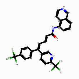 O=C(/C=C/C=C(/c1ccc(C(F)(F)F)cc1)c1ccc(C(F)(F)F)nc1)Nc1cccc2cnccc12